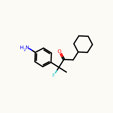 CC(F)(C(=O)CC1CCCCC1)c1ccc(N)cc1